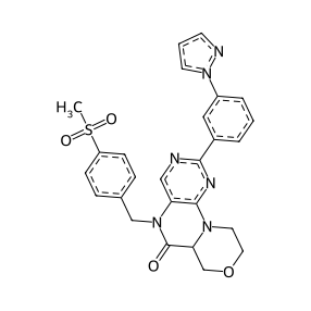 CS(=O)(=O)c1ccc(CN2C(=O)C3COCCN3c3nc(-c4cccc(-n5cccn5)c4)ncc32)cc1